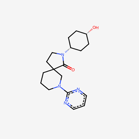 O=C1N([C@H]2CC[C@@H](O)CC2)CCC12CCCN(c1ncccn1)C2